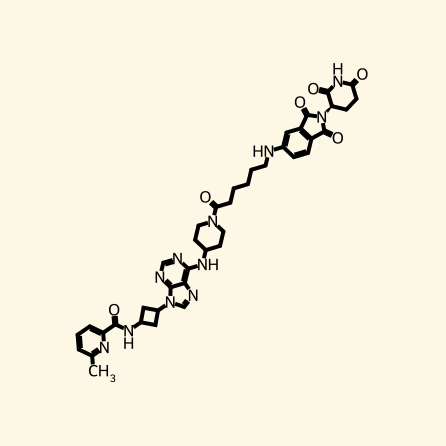 Cc1cccc(C(=O)NC2CC(n3cnc4c(NC5CCN(C(=O)CCCCCNc6ccc7c(c6)C(=O)N([C@@H]6CCC(=O)NC6=O)C7=O)CC5)ncnc43)C2)n1